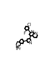 CC(C)N1CCc2ccc(-c3cncc(-c4cc(-c5cc(Cl)ccc5F)nc5ncccc45)c3)cc2C1